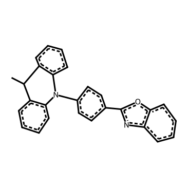 CC1c2ccccc2N(c2ccc(-c3nc4ccccc4o3)cc2)c2ccccc21